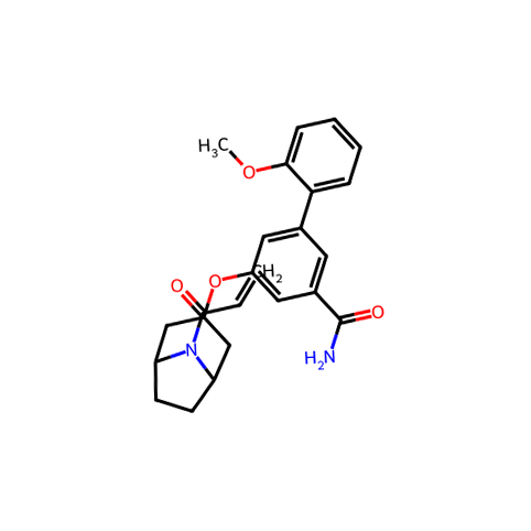 C=CC(=O)N1C2CCC1CC(Oc1cc(C(N)=O)cc(-c3ccccc3OC)c1)C2